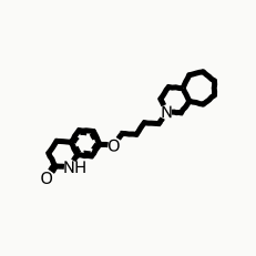 O=C1CCc2ccc(OCCCCN3CCC4CCCCCC4C3)cc2N1